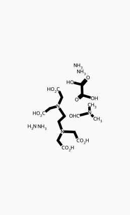 CN(C)C=O.N.N.N.N.O=C(O)C(=O)O.O=C(O)CN(CCN(CC(=O)O)CC(=O)O)CC(=O)O